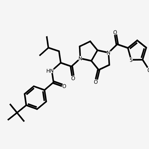 CC(C)CC(NC(=O)c1ccc(C(C)(C)C)cc1)C(=O)N1CCC2C1C(=O)CN2C(=O)c1ccc(Cl)s1